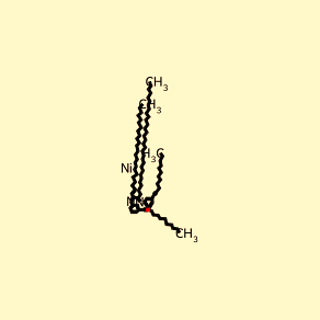 CCCCCCCCCCC#Cc1cccc(N=C(C=CCCCCCCCCCCCCCCCCCCCCCC)C(CCCCCCCCCCCCCCCCCCCCCCCCCCCCCC)=Nc2cccc(C#CCCCCCCCCCC)c2)c1.[Ni]